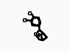 Clc1ccc(C2OCC3CC2N3)cc1Cl